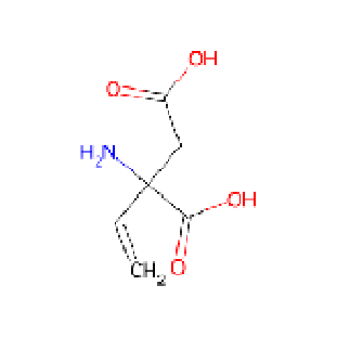 C=CC(N)(CC(=O)O)C(=O)O